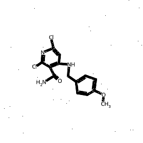 COc1ccc(CNc2cc(Cl)nc(Cl)c2C(N)=O)cc1